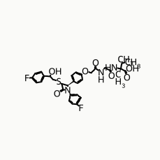 CC(C)[C@@](C)(NC(=O)CNC(=O)COc1ccc([C@@H]2[C@@H](SCC(O)c3ccc(F)cc3)C(=O)N2c2ccc(F)cc2)cc1)C(=O)O